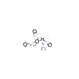 Cc1c(C)c(-c2cc3c(cc2C(=O)N2Cc4ccccc4C[C@H]2C)CN(C(=O)Cc2ccccc2)CC3)n(CCN2CCOCC2)c1C(=O)Nc1ccccc1